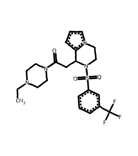 CCN1CCN(C(=O)CC2c3cccn3CCN2S(=O)(=O)c2cccc(C(F)(F)F)c2)CC1